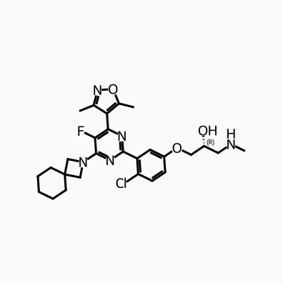 CNC[C@@H](O)COc1ccc(Cl)c(-c2nc(-c3c(C)noc3C)c(F)c(N3CC4(CCCCC4)C3)n2)c1